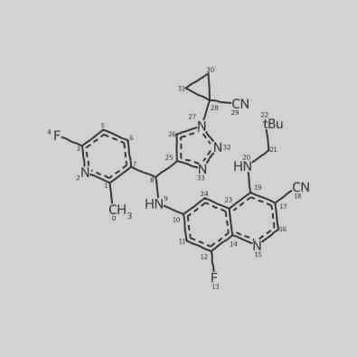 Cc1nc(F)ccc1C(Nc1cc(F)c2ncc(C#N)c(NCC(C)(C)C)c2c1)c1cn(C2(C#N)CC2)nn1